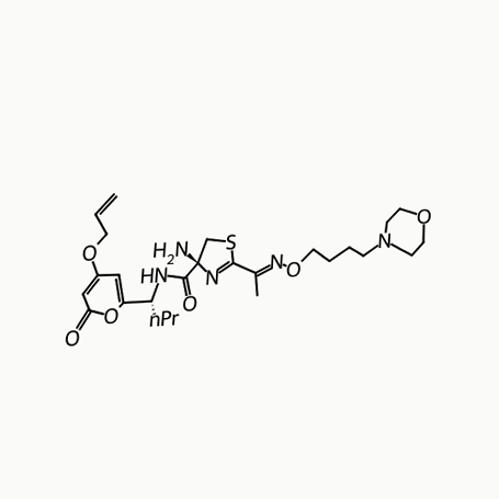 C=CCOc1cc([C@@H](CCC)NC(=O)[C@]2(N)CSC(/C(C)=N/OCCCCN3CCOCC3)=N2)oc(=O)c1